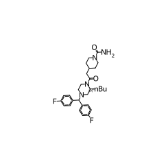 CCCC[C@H]1CN(C(c2ccc(F)cc2)c2ccc(F)cc2)CCN1C(=O)CC1CCN(C(N)=O)CC1